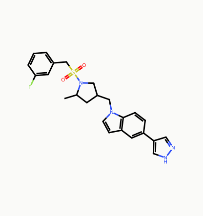 CC1CC(Cn2ccc3cc(-c4cn[nH]c4)ccc32)CN1S(=O)(=O)Cc1cccc(F)c1